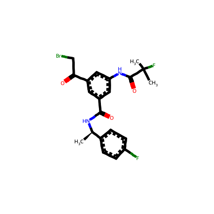 C[C@@H](NC(=O)c1cc(NC(=O)C(C)(C)F)cc(C(=O)CBr)c1)c1ccc(F)cc1